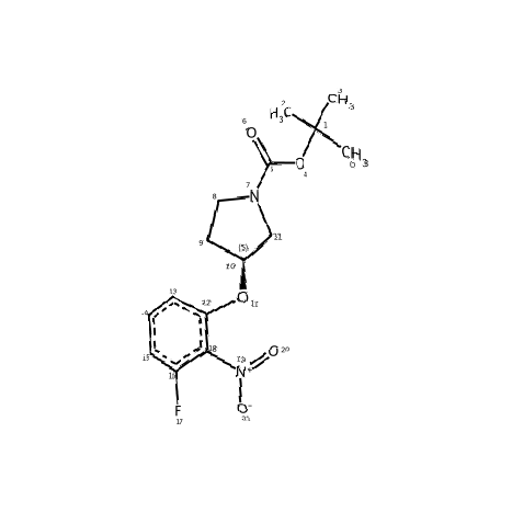 CC(C)(C)OC(=O)N1CC[C@H](Oc2cccc(F)c2[N+](=O)[O-])C1